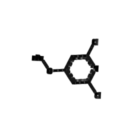 CCCCOc1cc(Cl)nc(Cl)c1